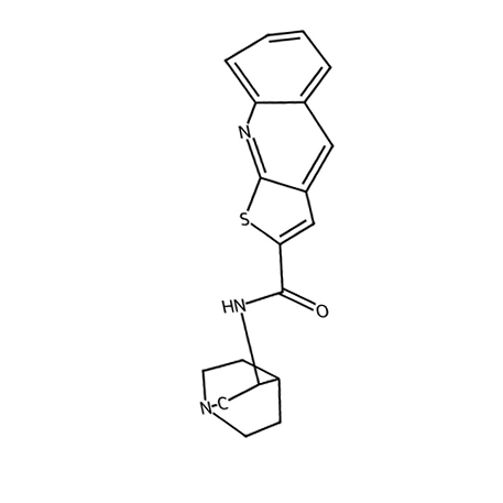 O=C(NC1CN2CCC1CC2)c1cc2cc3ccccc3nc2s1